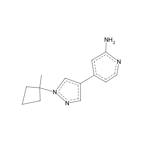 CC1(n2cc(-c3ccnc(N)c3)cn2)CCC1